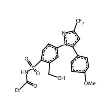 CCC(=O)NS(=O)(=O)c1ccc(-n2nc(C(F)(F)F)cc2-c2ccc(OC)cc2)cc1CO